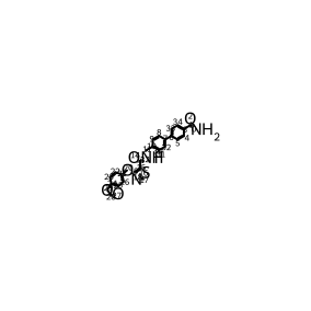 NC(=O)c1ccc(-c2ccc(CNC(=O)c3scnc3Oc3ccc4c(c3)OCO4)c(F)c2)cc1